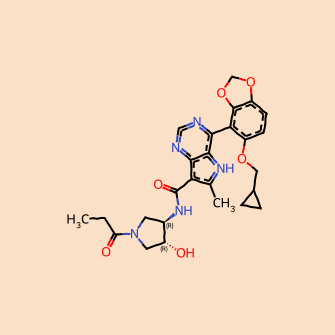 CCC(=O)N1C[C@@H](O)[C@H](NC(=O)c2c(C)[nH]c3c(-c4c(OCC5CC5)ccc5c4OCO5)ncnc23)C1